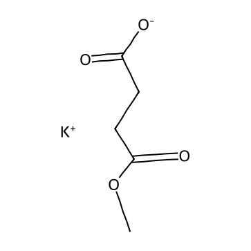 COC(=O)CCC(=O)[O-].[K+]